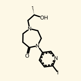 C[C@H](O)CN1CCC(=O)N(c2ccc(I)nc2)CC1